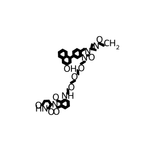 C=CC(=O)N1CC(N2Cc3ccc(-c4cc(O)cc5ccccc45)cc3N(CCOCCOCCOCCNc3cccc4c3C(=O)N(C3CCC(=O)NC3=O)C4=O)C2=O)C1